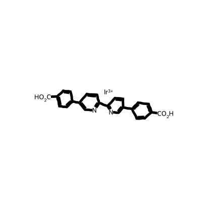 O=C(O)c1ccc(-c2ccc(-c3ccc(-c4ccc(C(=O)O)cc4)cn3)nc2)cc1.[Ir+3]